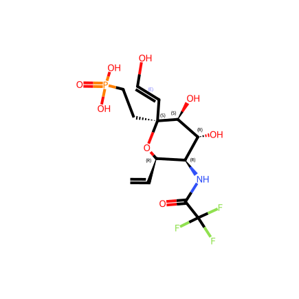 C=C[C@H]1O[C@](/C=C/O)(CCP(=O)(O)O)[C@@H](O)[C@H](O)[C@H]1NC(=O)C(F)(F)F